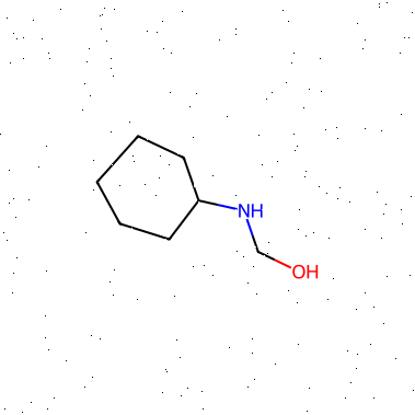 OCNC1CCCCC1